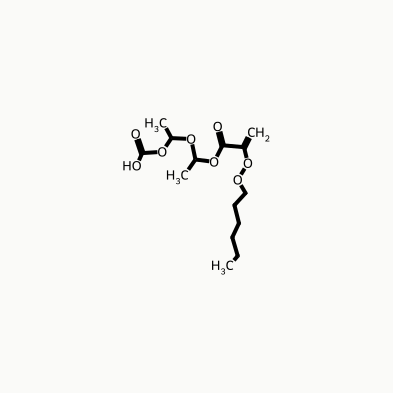 C=C(OOCCCCCC)C(=O)OC(C)OC(C)OC(=O)O